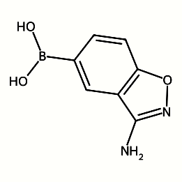 Nc1noc2ccc(B(O)O)cc12